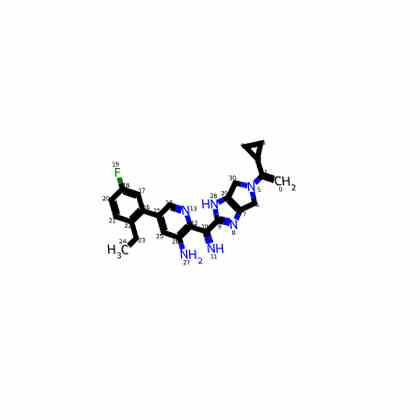 C=C(C1CC1)N1Cc2nc(C(=N)c3ncc(-c4cc(F)ccc4CC)cc3N)[nH]c2C1